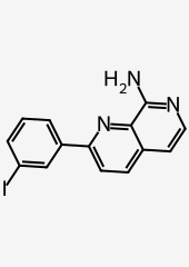 Nc1nccc2ccc(-c3cccc(I)c3)nc12